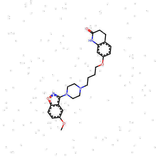 COc1ccc2onc(N3CCN(CCCCOc4ccc5c(c4)NC(=O)CC5)CC3)c2c1